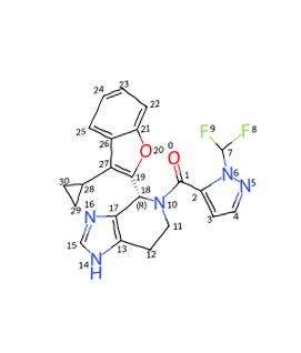 O=C(c1ccnn1C(F)F)N1CCc2[nH]cnc2[C@@H]1c1oc2ccccc2c1C1CC1